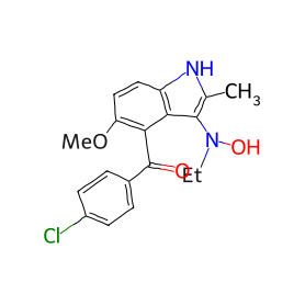 CCN(O)c1c(C)[nH]c2ccc(OC)c(C(=O)c3ccc(Cl)cc3)c12